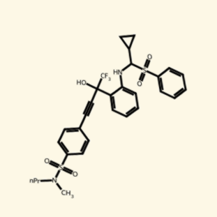 CCCN(C)S(=O)(=O)c1ccc(C#CC(O)(c2ccccc2NC(C2CC2)S(=O)(=O)c2ccccc2)C(F)(F)F)cc1